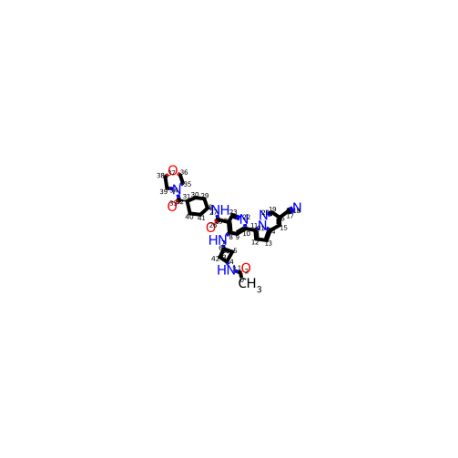 CC(=O)NC12CC(Nc3cc(-c4ccc5cc(C#N)cnn45)ncc3C(=O)N[C@H]3CC[C@H](C(=O)N4CCOCC4)CC3)(C1)C2